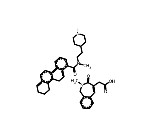 CN(CCC1CCNCC1)C(=O)c1cccc2c1=CCc1c3c(ccc1=2)=CCCC3.CN1Cc2ccccc2C=C(CC(=O)O)C1=O